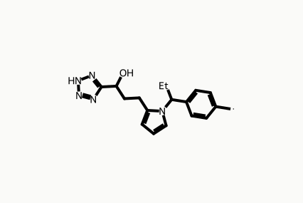 [CH2]c1ccc(C(CC)n2cccc2CCC(O)c2nn[nH]n2)cc1